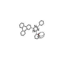 c1ccc(-c2nc(-c3ccc4c5ccccc5c5ccccc5c4c3)nc(-c3cccc4c3C3CC5CC(CC4C5)C3)n2)cc1